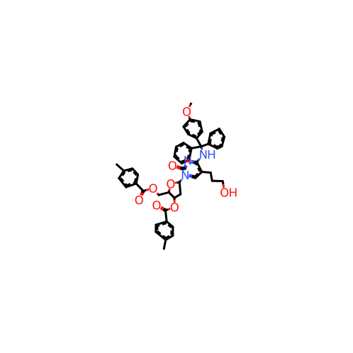 COc1ccc(C(Nc2nc(=O)n(C3CC(OC(=O)c4ccc(C)cc4)C(COC(=O)c4ccc(C)cc4)O3)cc2CCCO)(c2ccccc2)c2ccccc2)cc1